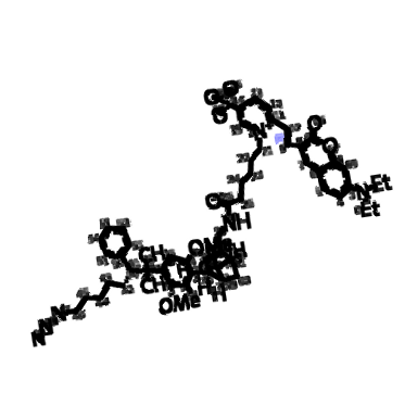 CCN(CC)c1ccc2cc(/C=C/c3ccc(S(=O)(=O)[O-])c[n+]3CCCCCC(=O)NCC3=C[C@H](c4c(OC)cc(C(C)(C)[C@H](CCCCCN=[N+]=[N-])c5ccccc5)cc4OC)[C@@H]4C[C@H]3C4(C)C)c(=O)oc2c1